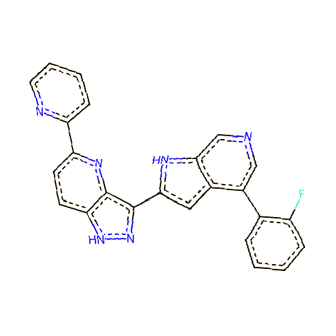 Fc1ccccc1-c1cncc2[nH]c(-c3n[nH]c4ccc(-c5ccccn5)nc34)cc12